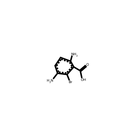 Nc1ccc(N)c(C(=O)O)c1Br